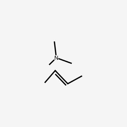 CC=CC.CN(C)C